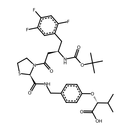 CC(C)[C@@H](Oc1ccc(CNC(=O)[C@H]2SCCN2C(=O)C[C@@H](Cc2cc(F)c(F)cc2F)NC(=O)OC(C)(C)C)cc1)C(=O)O